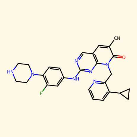 N#Cc1cc2cnc(Nc3ccc(N4CCNCC4)c(F)c3)nc2n(Cc2ncccc2C2CC2)c1=O